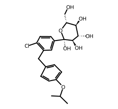 CC(C)Oc1ccc(Cc2cc([C@@]3(O)O[C@H](CO)[C@@H](O)[C@H](O)[C@H]3O)ccc2Cl)cc1